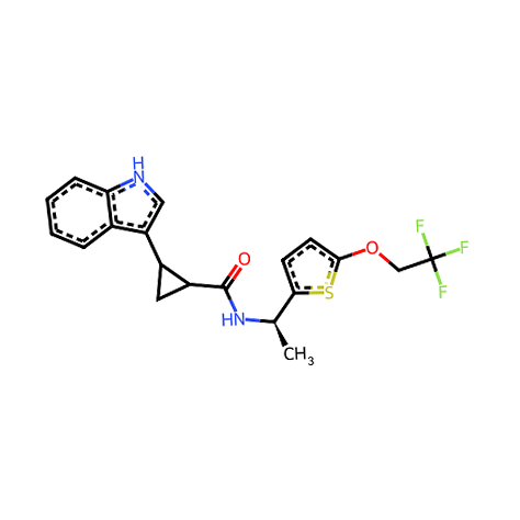 C[C@@H](NC(=O)C1CC1c1c[nH]c2ccccc12)c1ccc(OCC(F)(F)F)s1